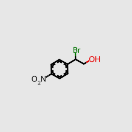 O=[N+]([O-])c1ccc(C(Br)CO)cc1